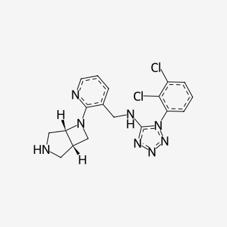 Clc1cccc(-n2nnnc2NCc2cccnc2N2C[C@@H]3CNC[C@@H]32)c1Cl